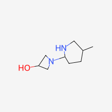 CC1CCC(N2CC(O)C2)NC1